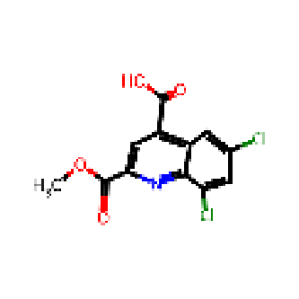 COC(=O)c1cc(C(=O)O)c2cc(Cl)cc(Cl)c2n1